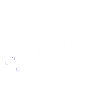 O=C(NCc1ccc(OCc2ccccc2F)cc1)c1cccn2cnnc12